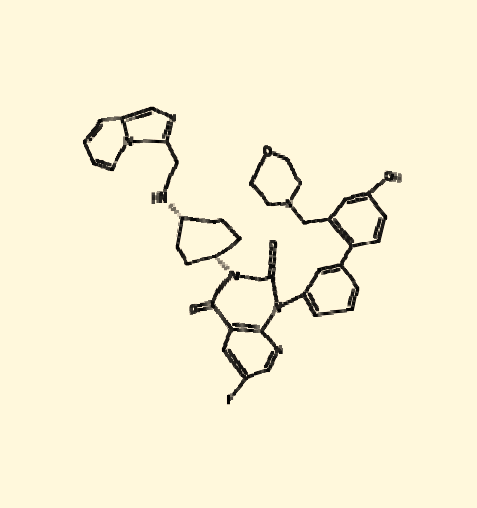 O=c1c2cc(F)cnc2n(-c2cccc(-c3ccc(O)cc3CN3CCOCC3)c2)c(=O)n1[C@H]1CC[C@@H](NCc2ncc3ccccn23)CC1